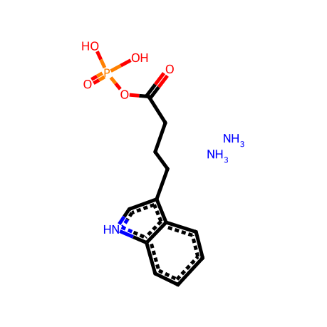 N.N.O=C(CCCc1c[nH]c2ccccc12)OP(=O)(O)O